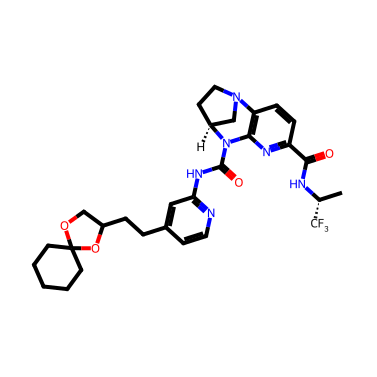 C[C@@H](NC(=O)c1ccc2c(n1)N(C(=O)Nc1cc(CCC3COC4(CCCCC4)O3)ccn1)[C@H]1CCN2C1)C(F)(F)F